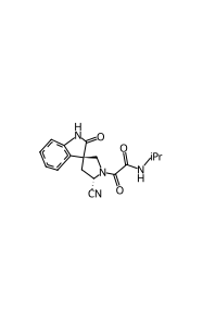 CC(C)NC(=O)C(=O)N1C[C@]2(C[C@H]1C#N)C(=O)Nc1ccccc12